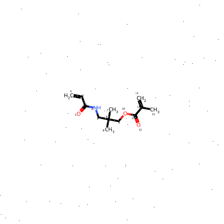 C=CC(=O)NCC(C)(C)COC(=O)C(=C)C